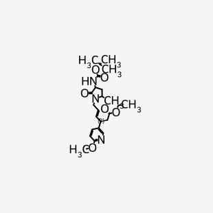 CCOC(=O)C[C@H](C=CCN1C(=O)C(NC(=O)OC(C)(C)C)CC1C)c1ccc(OC)nc1